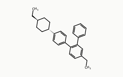 CCc1ccc(-c2ccc([C@H]3CC[C@H](CC)CC3)cc2)c(-c2ccccc2)c1